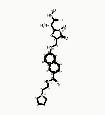 CCNC(=O)[C@@H](N)C1S[C@H](CNc2ccc3cc(C(=O)NCCN4CCCC4)ccc3c2)C(=O)N1CC